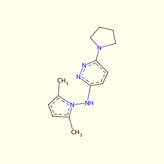 Cc1ccc(C)n1Nc1ccc(N2CCCC2)nn1